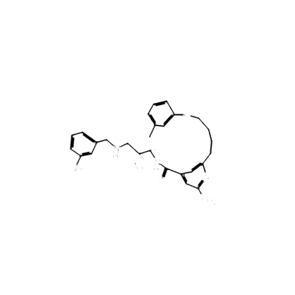 Cc1cc2cc(n1)CCCCCc1cccc(c1)C[C@@H]([C@H](O)CNCc1cccc(C(C)C)c1)NC2=O